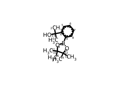 CC(C)(O)c1ccccc1B1OC(C)(C)C(C)(C)O1